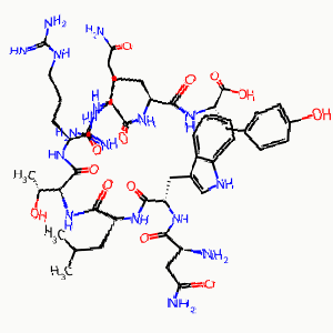 CC(C)C[C@H](NC(=O)[C@H](Cc1c[nH]c2ccccc12)NC(=O)[C@@H](N)CC(N)=O)C(=O)N[C@H](C(=O)N[C@@H](CCCNC(=N)N)C(=O)N[C@@H](CCC(N)=O)C(=O)N[C@@H](CCCNC(=N)N)C(=O)N[C@@H](Cc1ccc(O)cc1)C(=O)O)[C@@H](C)O